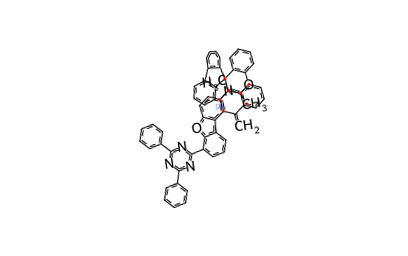 C=C(/C=C\C1=C(C)Oc2ccccc2C12c1ccccc1-c1ccccc12)c1ccccc1N(C)c1ccc2oc3c(-c4nc(-c5ccccc5)nc(-c5ccccc5)n4)cccc3c2c1